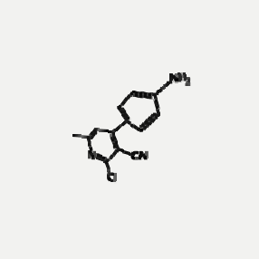 Cc1cc(-c2ccc(N)cc2)c(C#N)c(Cl)n1